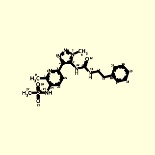 Cc1nc(-c2nnn(C)c2NC(=O)NCCc2ccccc2)ccc1NS(C)(=O)=O